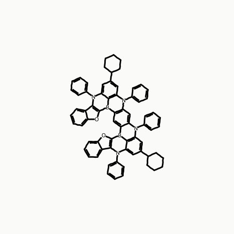 c1ccc(N2c3cc4c(cc3B3c5oc6ccccc6c5N(c5ccccc5)c5cc(C6CCCCC6)cc2c53)B2c3oc5ccccc5c3N(c3ccccc3)c3cc(C5CCCCC5)cc(c32)N4c2ccccc2)cc1